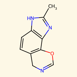 Cc1nc2c3c(ccc2[nH]1)CN=CO3